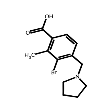 Cc1c(C(=O)O)ccc(CN2CCCC2)c1Br